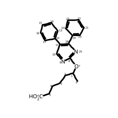 CC(CCCCC(=O)O)Oc1ncc(-c2ccccc2)c(-c2ccccc2)n1